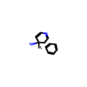 NC1(C(F)(F)F)C=CN=CC1.c1ccccc1